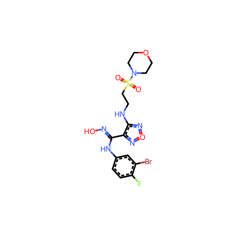 O=S(=O)(CCNc1nonc1/C(=N/O)Nc1ccc(F)c(Br)c1)N1CCOCC1